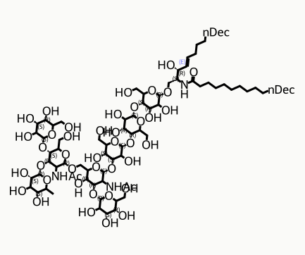 CCCCCCCCCCCCC/C=C/[C@@H](O)[C@H](CO[C@@H]1OC(CO)[C@@H](O[C@@H]2OC(CO)[C@H](O[C@@H]3OC(CO)[C@H](O)[C@H](O[C@@H]4OC(CO[C@@H]5OC(CO)[C@@H](O[C@@H]6OC(CO)[C@H](O)[C@H](O)C6O)[C@H](O[C@H]6OC(C)[C@@H](O)C(O)[C@@H]6O)C5NC(C)=O)[C@H](O)[C@H](O[C@@H]5OC(CO)[C@H](O)[C@H](O)C5O)C4NC(C)=O)C3O)[C@H](O)C2O)[C@H](O)C1O)NC(=O)CCCCCCCCCCCCCCCCCCC